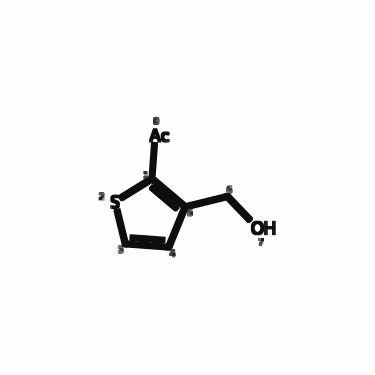 CC(=O)c1sccc1CO